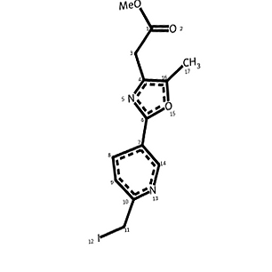 COC(=O)Cc1nc(-c2ccc(CI)nc2)oc1C